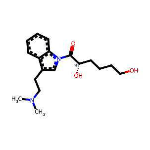 CN(C)CCc1cn(C(=O)[C@@H](O)CCCCO)c2ccccc12